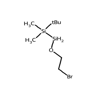 CC(C)(C)[Si](C)(C)[SiH2]OCCBr